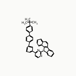 CC(C)(C)c1ccc(-c2ccc(-c3cccc(-c4ccnc(-n5c6ccccc6c6ccc7ccccc7c65)n4)c3)cc2)cc1